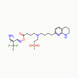 CS(=O)(=O)CCN(CCCCc1ccc2c(n1)NCCC2)CCCC(=O)O/N=C/C(=C\N)C(F)(F)F